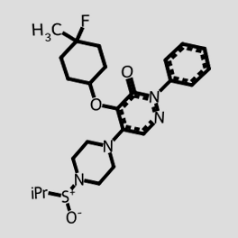 CC(C)[S+]([O-])N1CCN(c2cnn(-c3ccccc3)c(=O)c2OC2CCC(C)(F)CC2)CC1